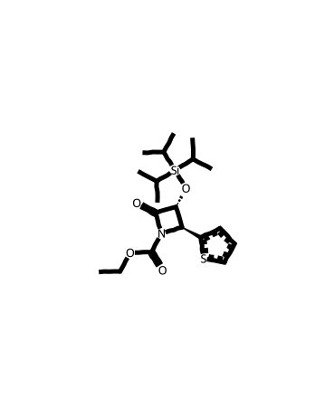 CCOC(=O)N1C(=O)[C@H](O[Si](C(C)C)(C(C)C)C(C)C)[C@H]1c1cccs1